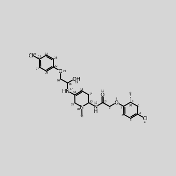 C[C@@H]1CC(Cl)=CC=C1OCC(=O)NC1CC=C(NC(O)COc2ccc(Cl)cc2)CN1C